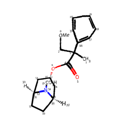 COCC(C)(C(=O)O[C@@H]1C[C@H]2CC[C@@H](C1)N2C(=O)O)c1ccccc1